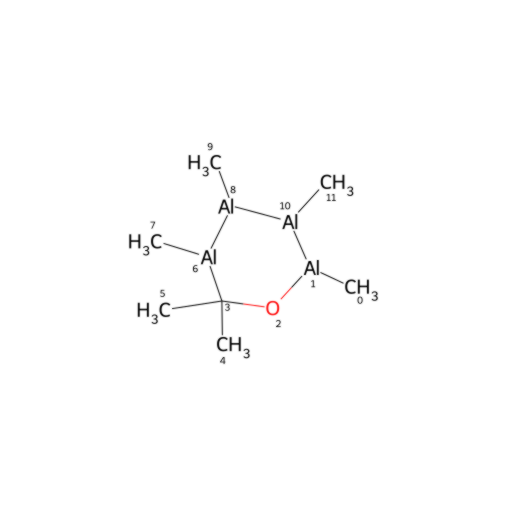 [CH3][Al]1[O][C](C)(C)[Al]([CH3])[Al]([CH3])[Al]1[CH3]